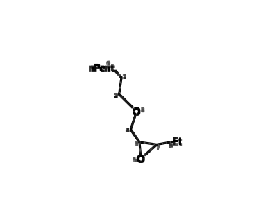 CCCCCCCOCC1OC1CC